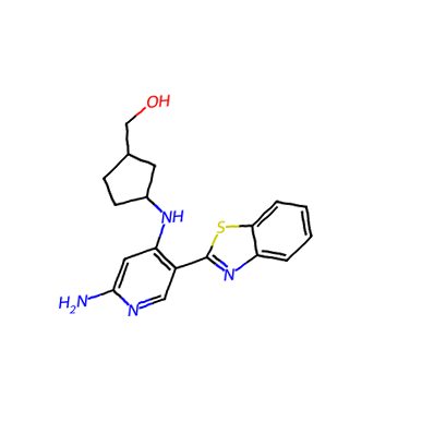 Nc1cc(NC2CCC(CO)C2)c(-c2nc3ccccc3s2)cn1